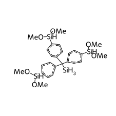 CO[SiH](OC)c1ccc(C([SiH3])(c2ccc([SiH](OC)OC)cc2)c2ccc([SiH](OC)OC)cc2)cc1